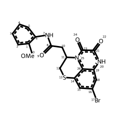 COc1ccccc1NC(=O)CC1CSc2cc(Br)cc3[nH]c(=O)c(=O)n1c23